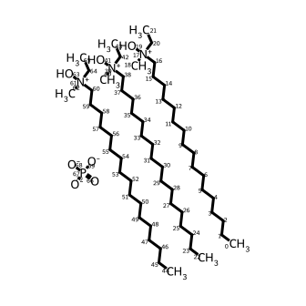 CCCCCCCCCCCCCCCCC[N+](C)(O)CC.CCCCCCCCCCCCCCCCC[N+](C)(O)CC.CCCCCCCCCCCCCCCCC[N+](C)(O)CC.O=P([O-])([O-])[O-]